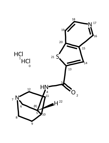 Cl.Cl.O=C(N[C@H]1CN2CCC1CC2)c1cc2cnccc2s1